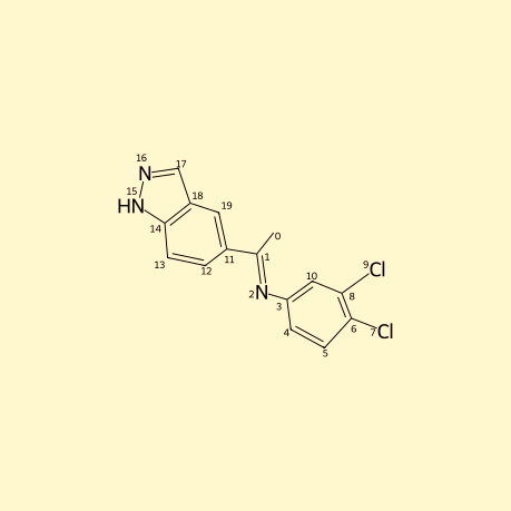 C/C(=N\c1ccc(Cl)c(Cl)c1)c1ccc2[nH]ncc2c1